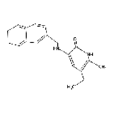 CCc1cc(NCc2ccc3ccccc3c2)c(=O)[nH]c1C